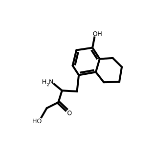 NC(Cc1ccc(O)c2c1CCCC2)C(=O)CO